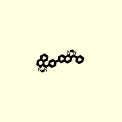 c1ccc(-c2ncnc3c2ccc2cc(-c4ccc(-c5ncnc6ccc7ccccc7c56)cc4)ccc23)cc1